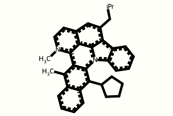 Cc1c2ccccc2c(C2CCCC2)c2c1c1c3c(cc[n+]1C)cc(CC(C)C)c1c4ccccc4n2c13